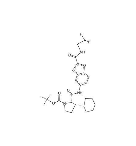 CC(C)(C)OC(=O)N1CC[C@@H](C2CCCCC2)[C@H]1C(=O)Nc1ccc2oc(C(=O)NCC(F)F)cc2c1